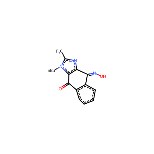 CCCCn1c(C(F)(F)F)nc2c1C(=O)c1ccccc1/C2=N\O